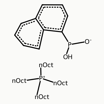 CCCCCCCC[P+](CCCCCCCC)(CCCCCCCC)CCCCCCCC.[O-]P(O)c1cccc2ccccc12